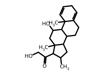 CC1CC2C3CCC4=CCC=CC4(C)C3C(O)CC2(C)C1C(=O)CO